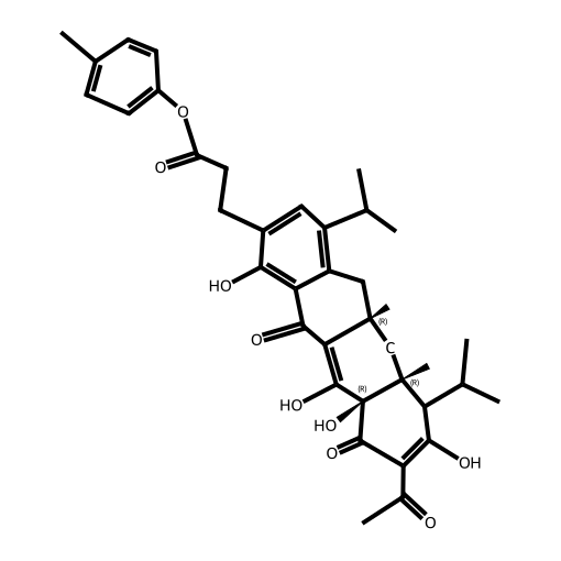 CC(=O)C1=C(O)C(C(C)C)[C@@]2(C)C[C@@]3(C)Cc4c(C(C)C)cc(CCC(=O)Oc5ccc(C)cc5)c(O)c4C(=O)C3=C(O)[C@@]2(O)C1=O